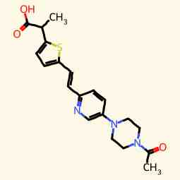 CC(=O)N1CCN(c2ccc(C=Cc3ccc(C(C)C(=O)O)s3)nc2)CC1